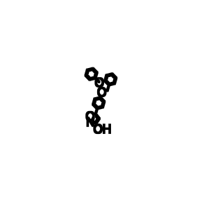 Oc1cc(-c2ccc(OCc3ccccc3Oc3ccccc3)cc2)on1